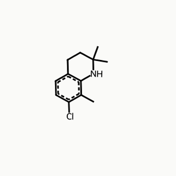 Cc1c(Cl)ccc2c1NC(C)(C)CC2